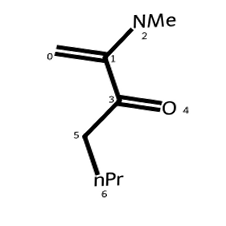 C=C(NC)C(=O)CCCC